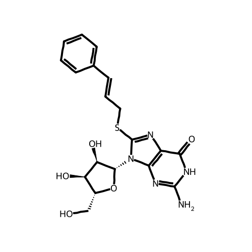 Nc1nc2c(nc(SCC=Cc3ccccc3)n2[C@@H]2O[C@H](CO)[C@@H](O)[C@H]2O)c(=O)[nH]1